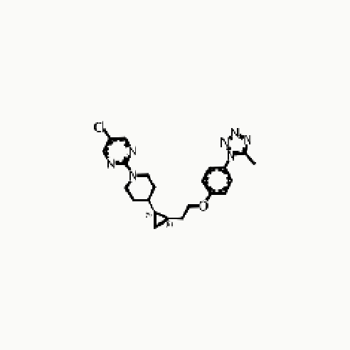 Cc1nnnn1-c1ccc(OCC[C@H]2C[C@H]2C2CCN(c3ncc(Cl)cn3)CC2)cc1